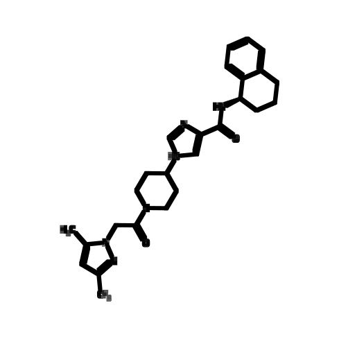 Cc1cc(C(F)(F)F)nn1CC(=O)N1CCC([SH]2C=NC(C(=O)N[C@@H]3CCCc4ccccc43)=C2)CC1